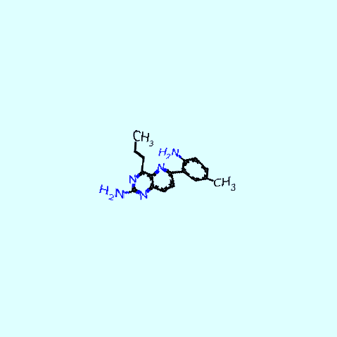 CCCc1nc(N)nc2ccc(-c3cc(C)ccc3N)nc12